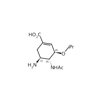 CC(=O)N[C@@H]1[C@@H](N)CC(C(=O)O)=C[C@H]1OC(C)C